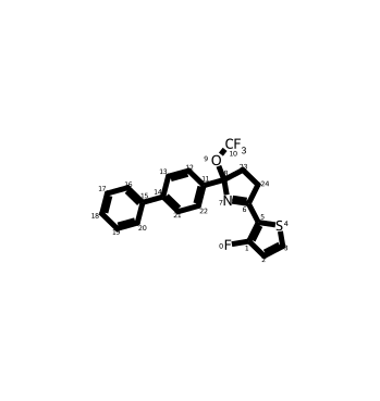 Fc1ccsc1C1=NC(OC(F)(F)F)(c2ccc(-c3ccccc3)cc2)CC1